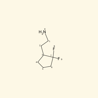 NCCC1CCCC1(F)F